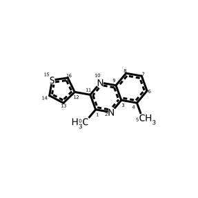 Cc1nc2c(C)cccc2nc1-c1ccsc1